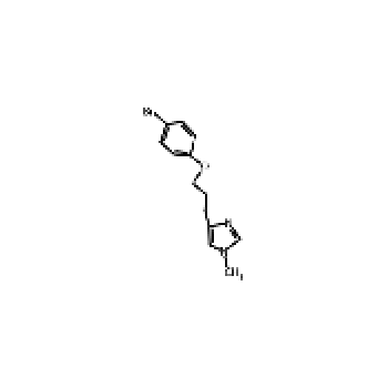 Cn1cnc(CCCOc2ccc(Br)cc2)c1